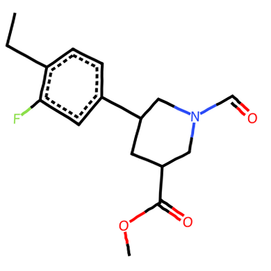 CCc1ccc(C2CC(C(=O)OC)CN(C=O)C2)cc1F